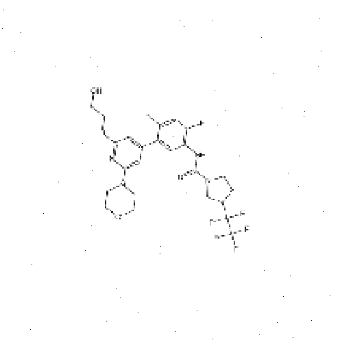 Cc1cc(F)c(NC(=O)N2CCC(C(F)(F)C(F)(F)F)C2)cc1-c1cc(OCCO)nc(N2CCOCC2)c1